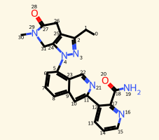 CCc1nn(-c2cccc3cc(-c4cccnc4C(N)=O)ncc23)c2c1CC(=O)N(C)C2